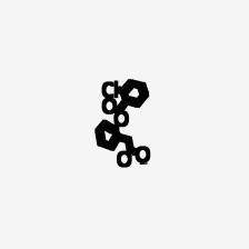 COC(=O)Cc1ccccc1OC(=O)c1ccccc1Cl